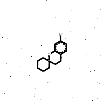 Brc1ccc2c(c1)OC1(CCCCC1)CC2